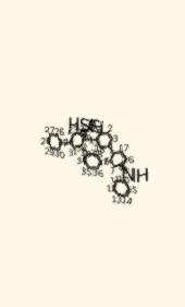 Cc1ccc(-c2ccc(Nc3ccccc3)cc2)cc1-c1c(S)cc(-c2ccccc2)cc1-c1ccccc1